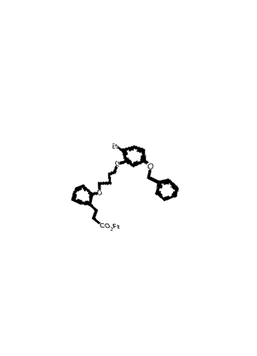 CCOC(=O)CCc1ccccc1OCCCCOc1cc(OCc2ccccc2)ccc1CC